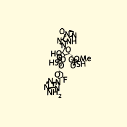 COP(=O)(S)OC[C@H]1O[C@@H](n2cnc3c(=O)n4ccnc4[nH]c32)[C@H](O)[C@@H]1OP(=O)(S)OC[C@@H]1C[C@@H](F)[C@H](n2cnc3c(N)ncnc32)O1